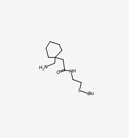 CCC(C)SCCNC(=O)CC1(CN)CCCCC1